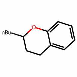 CCCCC1CCc2ccccc2O1